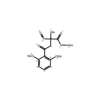 CCCCCCCCCCOC(=O)C(CCCC)(CC(=O)c1c(OC)cccc1OC)P=O